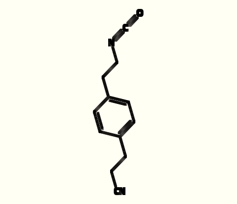 N#CCCc1ccc(CCN=C=O)cc1